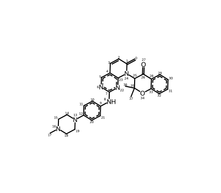 C=C1C=Cc2cnc(Nc3ccc(N4CCN(C)CC4)cc3)nc2N1C1C(=O)c2ccccc2OC1(C)C